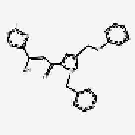 O=C(C=C(O)c1nn[nH]n1)c1cc(COc2ccccc2)cn1Cc1ccncc1